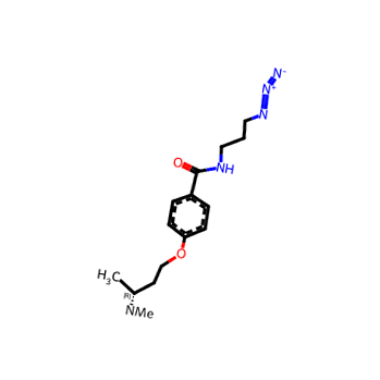 CN[C@H](C)CCOc1ccc(C(=O)NCCCN=[N+]=[N-])cc1